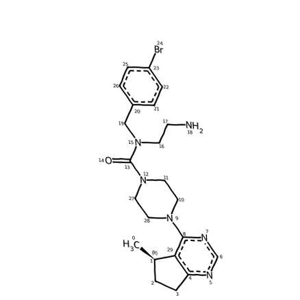 C[C@@H]1CCc2ncnc(N3CCN(C(=O)N(CCN)Cc4ccc(Br)cc4)CC3)c21